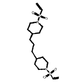 C=CS(=O)(=O)N1CCC(CCCC2CCN(S(=O)(=O)C=C)CC2)CC1